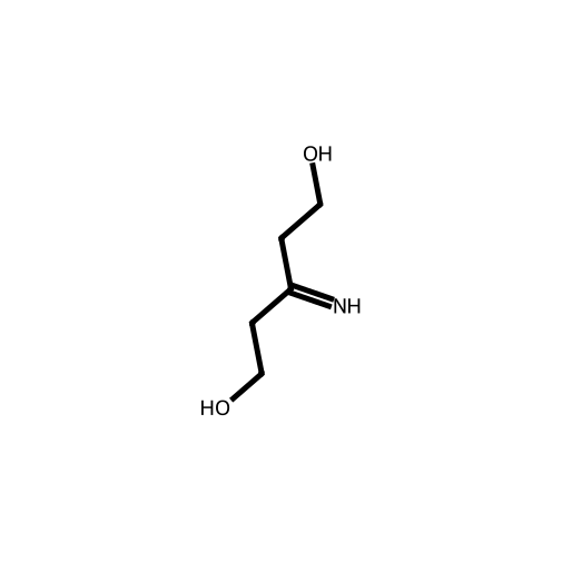 N=C(CCO)CCO